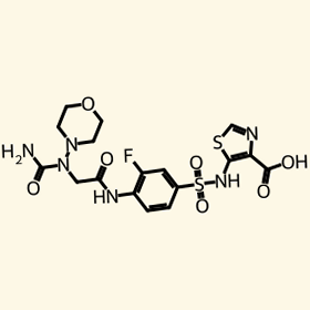 NC(=O)N(CC(=O)Nc1ccc(S(=O)(=O)Nc2scnc2C(=O)O)cc1F)N1CCOCC1